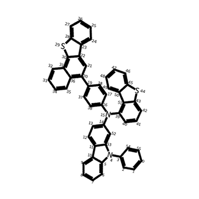 c1ccc(-n2c3ccccc3c3ccc(N(c4ccc(-c5cc6c7ccccc7sc6c6ccccc56)cc4)c4cccc5sc6ccccc6c45)cc32)cc1